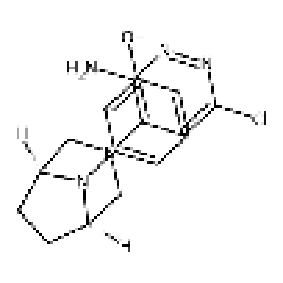 Nc1nnc(Cl)cc1N1C[C@H]2CC[C@@H](C1)N2c1cccc(O)c1